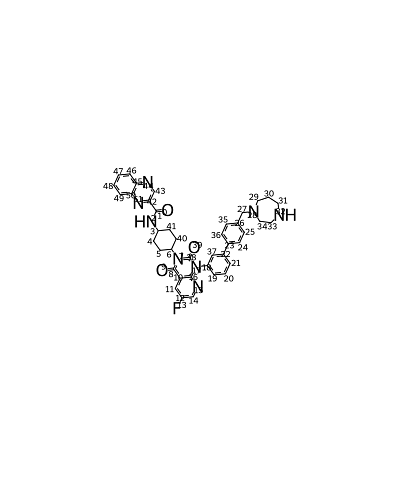 O=C(NC1CCC(n2c(=O)c3cc(F)cnc3n(-c3cccc(-c4ccc(CN5CCCNCC5)cc4)c3)c2=O)CC1)c1cnc2ccccc2n1